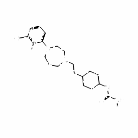 CCNC(=O)NC1CCC(CCN2CCCN(c3cccc(Cl)c3Cl)CC2)CC1